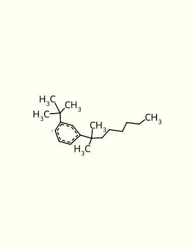 CCCCCCC(C)(C)c1cc[c]c(C(C)(C)C)c1